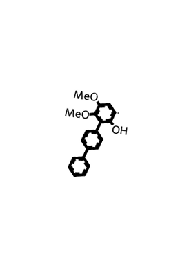 COc1c[c]c(O)c(-c2ccc(-c3ccccc3)cc2)c1OC